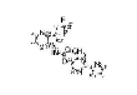 Cc1nc(-c2nccs2)ncc1OC(=O)Nn1cc(CC(F)(F)F)c2ncccc21